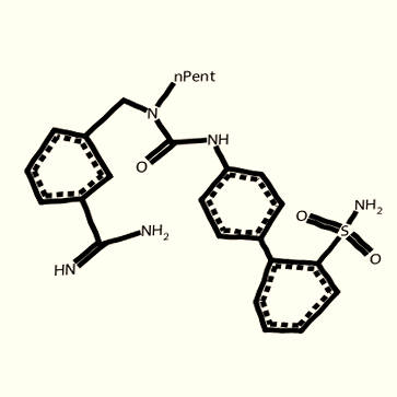 CCCCCN(Cc1cccc(C(=N)N)c1)C(=O)Nc1ccc(-c2ccccc2S(N)(=O)=O)cc1